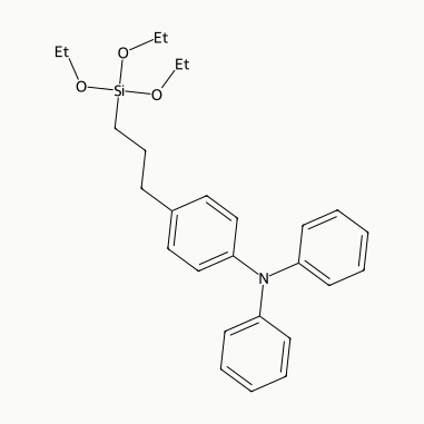 CCO[Si](CCCc1ccc(N(c2ccccc2)c2ccccc2)cc1)(OCC)OCC